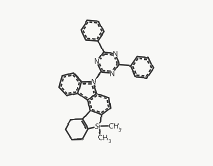 C[Si]1(C)C2=C(CCCC2)c2c1ccc1c2c2ccccc2n1-c1nc(-c2ccccc2)nc(-c2ccccc2)n1